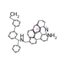 C=Cc1cccc(-c2cccc(C(NCc3ccc(-c4ccccc4/C(=C4/C=CC=C/C4=N/CN)c4ccccc4)c(-c4ccccc4)c3)c3ccccc3)c2)c1